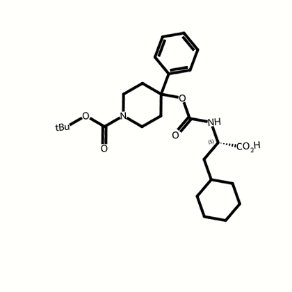 CC(C)(C)OC(=O)N1CCC(OC(=O)N[C@@H](CC2CCCCC2)C(=O)O)(c2ccccc2)CC1